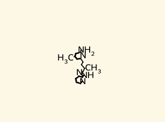 Cc1cc(N)nc(CC[C@@H](C)c2nc3cccnc3[nH]2)c1